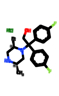 CC[C@@H]1CN[C@@H](C)CN1C(CO)(c1ccc(F)cc1)c1ccc(F)cc1.Cl